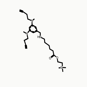 C#CCCN(C)c1cc(CNCCCCCC(=O)OCC[Si](C)(C)C)cc(N(C)CCC#C)c1